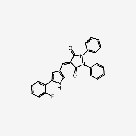 O=C1C(=Cc2c[nH]c(-c3ccccc3F)c2)C(=O)N(c2ccccc2)N1c1ccccc1